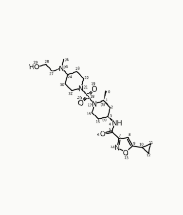 C[C@H]1C[C@@H](NC(=O)c2cc(C3CC3)on2)CCN1S(=O)(=O)N1CCC(N(C)CCO)CC1